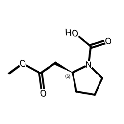 COC(=O)C[C@@H]1CCCN1C(=O)O